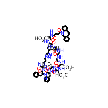 CC(C)Cc1cn(CCCC[C@H](NC(=O)[C@H](Cc2ccccc2)NC(=O)[C@H](Cc2ccccc2)NC(=O)[C@H](CC(=O)O)NC(=O)[C@H](CC(=O)O)NC(=O)[C@H](CC(=O)O)NC(=O)CNC(=O)CNC(=O)CNC(=O)[C@H](CC(=O)O)NC(=O)[C@H](CC(=O)O)NC(=O)CCC(=O)N2Cc3ccccc3C#Cc3ccccc32)C(N)=O)nn1